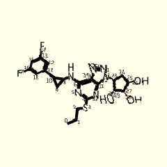 CCCSc1nc(NC2CC2c2cc(F)cc(F)c2)c2nnn([C@H]3C[C@@H](O)[C@H](O)[C@@H]3O)c2n1